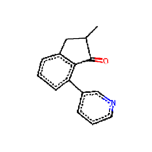 CC1Cc2cccc(-c3cccnc3)c2C1=O